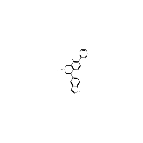 CN1Cc2c(ccc(-c3cnccn3)c2F)C(c2ccc3[nH]ccc3c2)C1